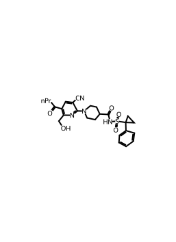 CCCC(=O)c1cc(C#N)c(N2CCC(C(=O)NS(=O)(=O)C3(c4ccccc4)CC3)CC2)nc1CO